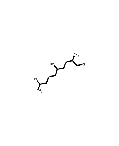 CC(O)COCC(O)COC(C)CO